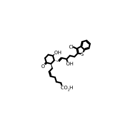 O=C(O)CCC/C=C\C[C@H]1C(=O)CC[C@@H](O)[C@@H]1/C=C/C(O)CCc1sc2ccccc2c1Cl